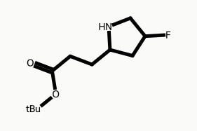 CC(C)(C)OC(=O)CCC1CC(F)CN1